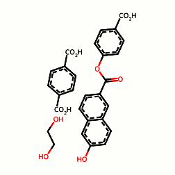 O=C(O)c1ccc(C(=O)O)cc1.O=C(O)c1ccc(OC(=O)c2ccc3cc(O)ccc3c2)cc1.OCCO